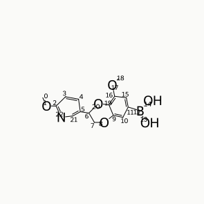 COc1ccc(C2COc3cc(B(O)O)cc(OC)c3O2)cn1